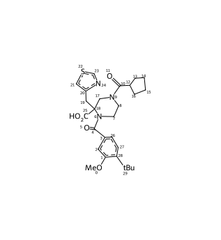 COc1cc(C(=O)N2CCN(C(=O)C3CCCC3)CC2(Cc2cscn2)C(=O)O)ccc1C(C)(C)C